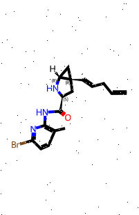 C=CCC=C[C@@]12C[C@@H](C(=O)Nc3nc(Br)ccc3C)N[C@@H]1C2